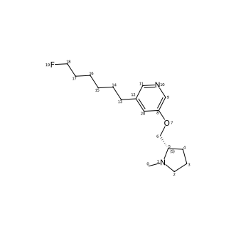 CN1CCC[C@H]1COc1cncc(CCCCCCF)c1